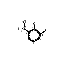 Cc1cccc([SiH2]Cl)c1C